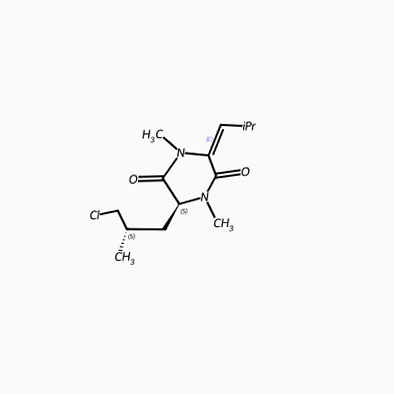 CC(C)/C=C1\C(=O)N(C)[C@@H](C[C@H](C)CCl)C(=O)N1C